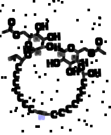 C=CC1CCCCCCC/C=C\CCCCCCCC(O)O[C@@H]2C(COC(C)=O)O[C@@H](OC3C(O)[C@H](O)C(COC(C)=O)O[C@H]3O1)C(O)C2O